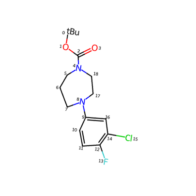 CC(C)(C)OC(=O)N1CCCN(c2ccc(F)c(Cl)c2)CC1